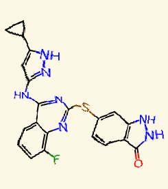 O=c1[nH][nH]c2cc(Sc3nc(Nc4cc(C5CC5)[nH]n4)c4cccc(F)c4n3)ccc12